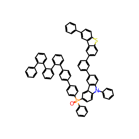 O=P(c1ccccc1)(c1ccc(-c2ccc(-c3ccccc3-c3ccccc3-c3ccccc3-c3ccccc3)cc2)cc1)c1ccc2c(c1)c1cc(-c3cccc(-c4ccc5sc6ccc(-c7ccccc7)cc6c5c4)c3)ccc1n2-c1ccccc1